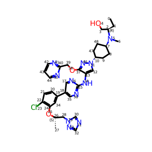 CC[C@H](CO)N(C)[C@H]1CC[C@H](n2cc(Nc3ncc(-c4ccc(Cl)c(O[C@@H](C)Cn5cncn5)c4)cn3)c(OCc3ncccn3)n2)CC1